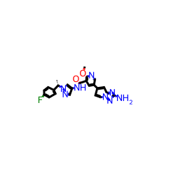 COc1ncc(-c2ccn3nc(N)nc3c2)cc1C(=O)Nc1cnn([C@@H](C)c2ccc(F)cc2)c1